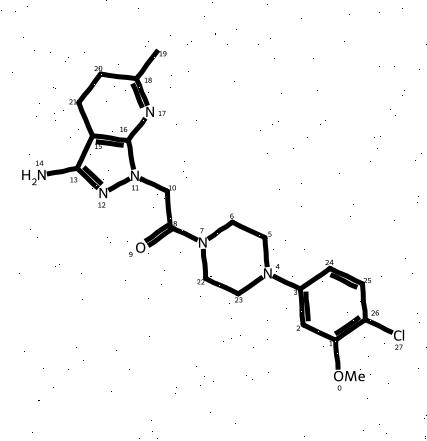 COc1cc(N2CCN(C(=O)Cn3nc(N)c4c3N=C(C)CC4)CC2)ccc1Cl